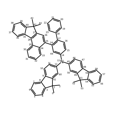 CC1(C)c2ccccc2-c2ccc(N(c3ccc(-c4ccccc4)c(-c4cc5c(c6ccccc46)-c4ccccc4C5(C)C)c3)c3ccc4c(c3)C(C)(C)c3ccccc3-4)cc21